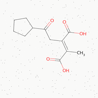 CC(C(=O)O)=C(CC(=O)C1CCCC1)C(=O)O